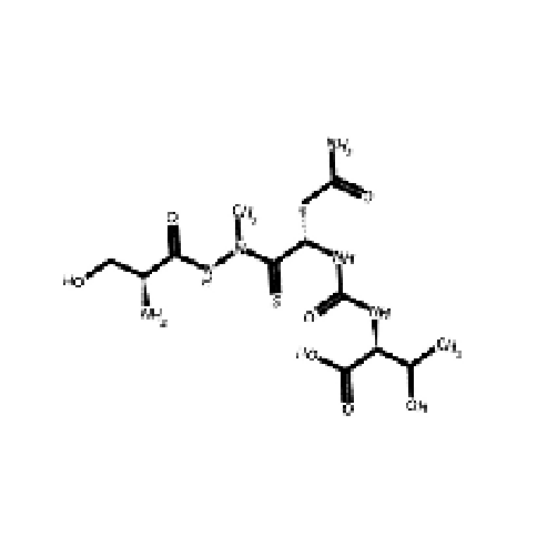 CC(O)[C@H](NC(=O)N[C@@H](CC(N)=O)C(=S)N(C)NC(=O)[C@@H](N)CO)C(=O)O